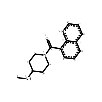 CNC1CCN(C(=O)c2cccc3cccnc23)CC1